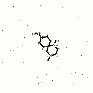 CCCN1CCC2(CC1)CN(C)CCN2C